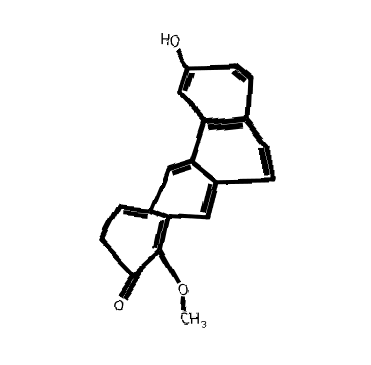 COC1=c2cc3ccc4ccc(O)cc4c3cc2=CCC1=O